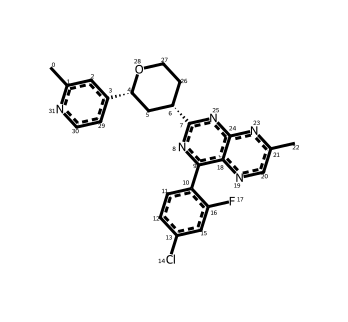 Cc1cc([C@H]2C[C@@H](c3nc(-c4ccc(Cl)cc4F)c4ncc(C)nc4n3)CCO2)ccn1